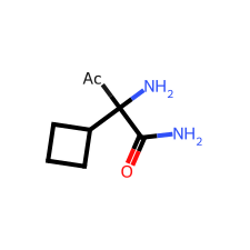 CC(=O)C(N)(C(N)=O)C1CCC1